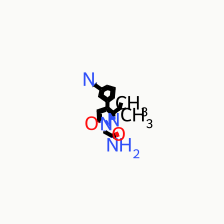 CC(C)c1nn(CC(N)=O)c(=O)cc1-c1cccc(C#N)c1